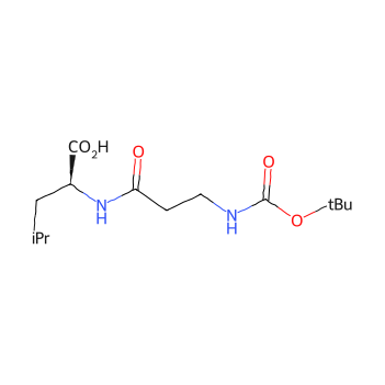 CC(C)C[C@H](NC(=O)CCNC(=O)OC(C)(C)C)C(=O)O